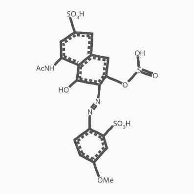 COc1ccc(N=Nc2c(OS(=O)O)cc3cc(S(=O)(=O)O)cc(NC(C)=O)c3c2O)c(S(=O)(=O)O)c1